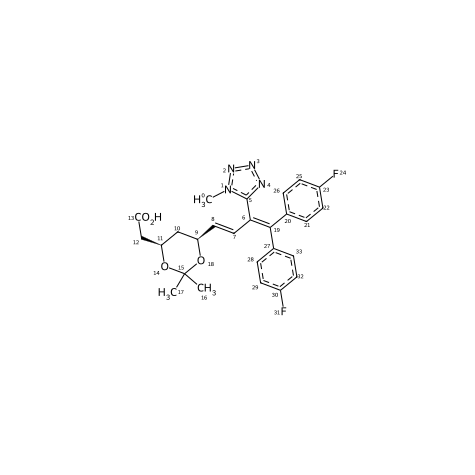 Cn1nnnc1C(C=C[C@@H]1C[C@H](CC(=O)O)OC(C)(C)O1)=C(c1ccc(F)cc1)c1ccc(F)cc1